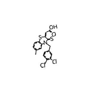 Cc1ccc2c(c1)N(Cc1ccc(Cl)c(Cl)c1)C(=S)C(=CC(=O)O)S2